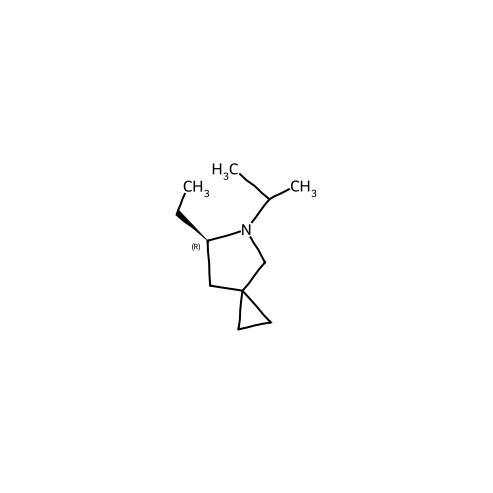 CC[C@@H]1CC2(CC2)CN1C(C)C